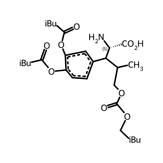 CCC(C)COC(=O)OCC(C)C(c1ccc(OC(=O)C(C)CC)c(OC(=O)C(C)CC)c1)[C@H](N)C(=O)O